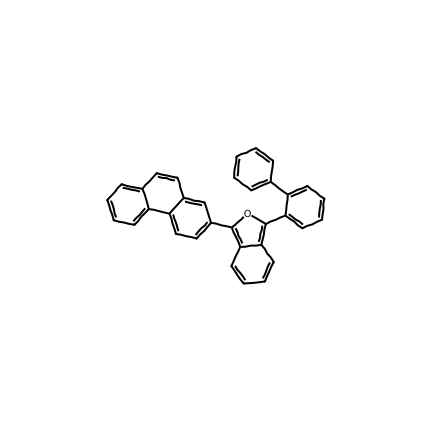 c1ccc(-c2ccccc2-c2oc(-c3ccc4c(ccc5ccccc54)c3)c3ccccc23)cc1